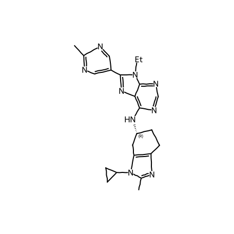 CCn1c(-c2cnc(C)nc2)nc2c(N[C@@H]3CCc4nc(C)n(C5CC5)c4C3)ncnc21